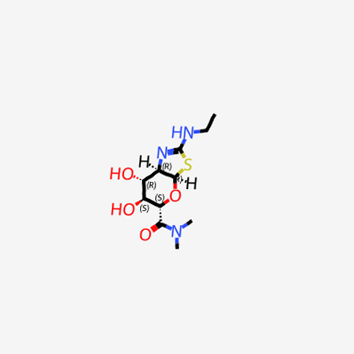 CCNC1=N[C@@H]2[C@@H](O)[C@H](O)[C@@H](C(=O)N(C)C)O[C@@H]2S1